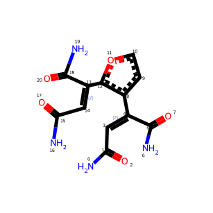 NC(=O)/C=C(\C(N)=O)c1ccoc1/C(=C/C(N)=O)C(N)=O